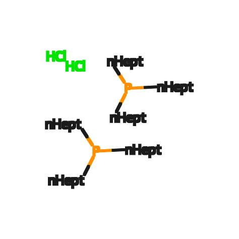 CCCCCCCP(CCCCCCC)CCCCCCC.CCCCCCCP(CCCCCCC)CCCCCCC.Cl.Cl